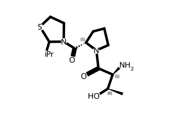 CC(C)C1SCCN1C(=O)[C@@H]1CCCN1C(=O)[C@@H](N)[C@@H](C)O